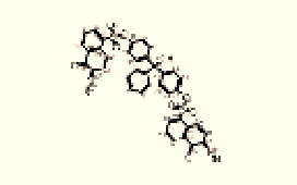 CC(c1ccccc1)(c1ccc(OS(=O)(=O)c2cccc3c2C=CC(=[N+]=[N-])C3=O)cc1)c1ccc(OS(=O)(=O)c2cccc3c2C=CC(=[N+]=[N-])C3=O)cc1